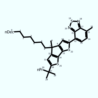 CCCCCCCCCCCCCCCCC1(C)c2cc(-c3ccc(C)c4nsnc34)sc2-c2sc(C(C)(C)CCC)cc21